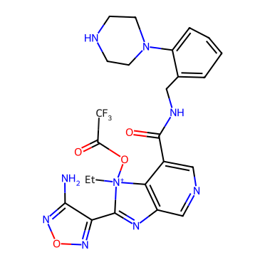 CC[N+]1(OC(=O)C(F)(F)F)C(c2nonc2N)=Nc2cncc(C(=O)NCc3ccccc3N3CCNCC3)c21